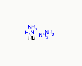 N.N.N.N.[LiH]